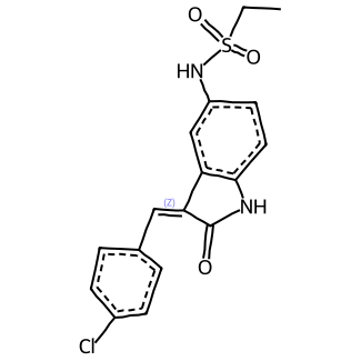 CCS(=O)(=O)Nc1ccc2c(c1)/C(=C/c1ccc(Cl)cc1)C(=O)N2